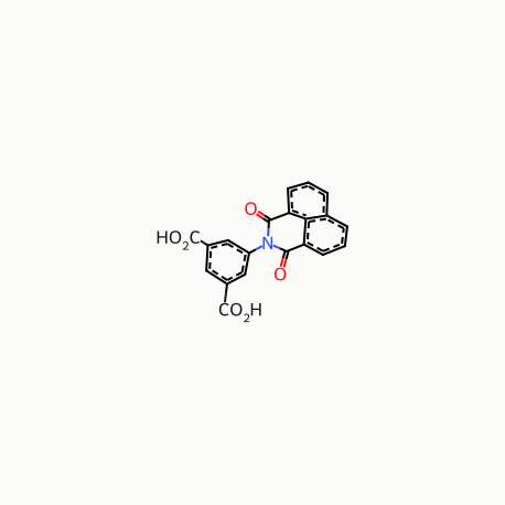 O=C(O)c1cc(C(=O)O)cc(N2C(=O)c3cccc4cccc(c34)C2=O)c1